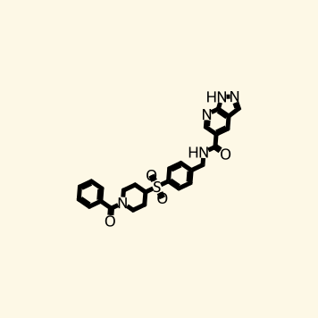 O=C(NCc1ccc(S(=O)(=O)C2CCN(C(=O)c3ccccc3)CC2)cc1)c1cnc2[nH]ncc2c1